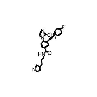 Cc1nccn1-c1ccc(C(=O)NCCCC2=CCN=C2)cc1C#Cc1ccc(F)cc1